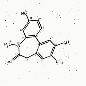 Cc1cc2c(cc1C)-c1ccc(O)cc1N(C)C(=O)C2